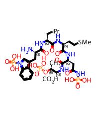 CSCC[C@H](NC(=O)[C@H](CC(C)C)NC(=O)[C@@H](N)Cc1cn(P(=O)(O)O)c2ccccc12)C(=O)N[C@@H](CC(=O)NP(=O)(O)O)C(=O)N[C@H](C(=O)O)[C@@H](C)OP(=O)(O)O